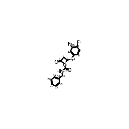 O=C1CC(Sc2ccc(F)c(F)c2)N1C(=O)NCc1ccccc1